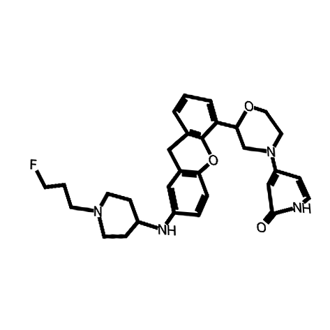 O=c1cc(N2CCOC(c3cccc4c3Oc3ccc(NC5CCN(CCCF)CC5)cc3C4)C2)cc[nH]1